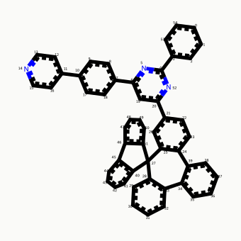 c1ccc(-c2nc(-c3ccc(-c4ccncc4)cc3)cc(-c3ccc4c(c3)C3(c5ccccc5-c5ccccc5-4)c4ccccc4-c4ccccc43)n2)cc1